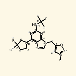 Cc1noc(Cn2cnc3c(N4CCC(F)(F)C4)nc(NC(C)(C)C)nc32)n1